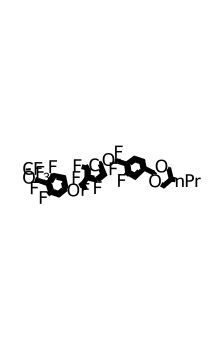 CCCC1COC(c2ccc(C(F)(F)Oc3cc(F)c(C(F)(F)Oc4cc(F)c(C(F)(F)OC(F)(F)F)c(F)c4)c(F)c3)c(F)c2)OC1